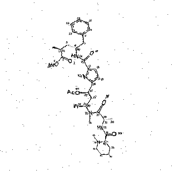 COC(=O)[C@@H](C)C[C@H](Cc1ccccc1)NC(=O)c1csc([C@@H](C[C@H](C(C)C)N(C)C(=O)[C@H](C)NC(=O)[C@H]2CCCCN2C)OC(C)=O)n1